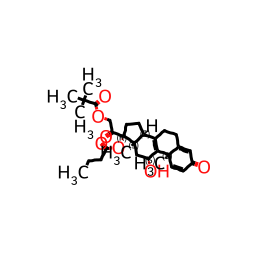 CCCC(=O)O[C@]1(C(=O)COC(=O)C(C)(C)C)CC[C@H]2C3=C([C@@H](O)C[C@@]21C)[C@@]1(C)C=CC(=O)C=C1CC3